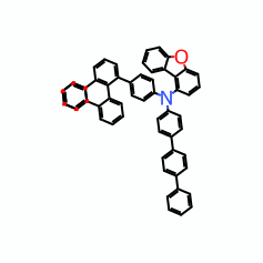 c1ccc(-c2ccc(-c3ccc(N(c4ccc(-c5cccc(-c6ccccc6)c5-c5ccccc5-c5ccccc5)cc4)c4cccc5oc6ccccc6c45)cc3)cc2)cc1